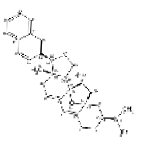 CC(C)N(C)[C@H]1CCC2=CC3=CC[C@]4(C)[C@@H](c5ccc6ccccc6c5)CC[C@H]4[C@@]34CC[C@]2(C1)O4